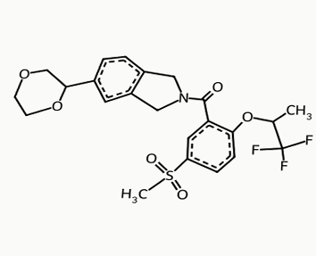 CC(Oc1ccc(S(C)(=O)=O)cc1C(=O)N1Cc2ccc(C3COCCO3)cc2C1)C(F)(F)F